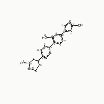 CC(C)[C@H]1CN(c2ncc(-c3ccc(-c4ncc(Cl)s4)cc3O)nn2)CCN1